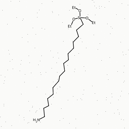 CCO[Si](CCCCCCCCCCCCCCCCCN)(OCC)OCC